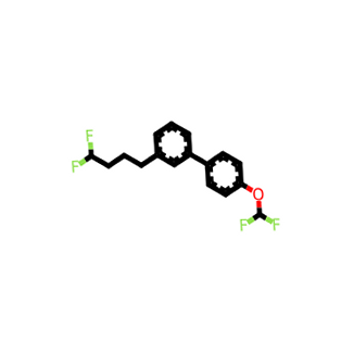 FC(F)CCCc1cccc(-c2ccc(OC(F)F)cc2)c1